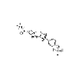 CC1(Nc2nnc(-c3ccc(OC(F)(F)F)cc3)o2)CN(C(=O)OC(C)(C)C)C1